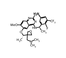 COc1cc2nc(C)nc(N[C@H](C)c3cc(N)cc(C(F)(F)F)c3F)c2cc1O[C@@H](C)C1(CN(C)C)COC1